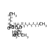 CCCCCCCCCCCCCC(C[C@@H]1OC(=O)[C@@H]1CCCCCC)OC(=O)[C@H](CC(C)C)NC=O